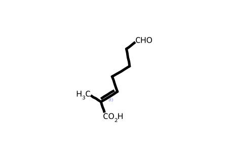 C/C(=C\CCCC=O)C(=O)O